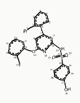 CC(C)c1ccccc1-c1cc(Oc2ccccc2F)nc(NS(=O)(=O)c2ccc(O)cc2)n1